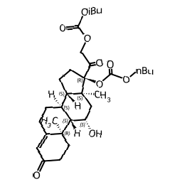 CCCCOC(=O)O[C@]1(C(=O)COC(=O)OCC(C)C)CC[C@H]2[C@@H]3CCC4=CC(=O)CC[C@]4(C)[C@H]3[C@@H](O)C[C@@]21C